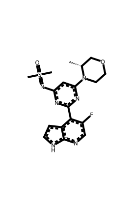 C[C@@H]1COCCN1c1cc(N=S(C)(C)=O)nc(-c2c(F)cnc3[nH]ccc23)n1